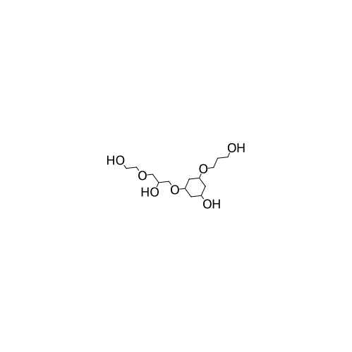 OCCCOC1CC(O)CC(OCC(O)COCCO)C1